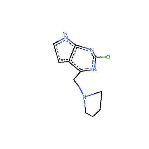 Clc1nc(CN2CCCC2)c2cc[nH]c2n1